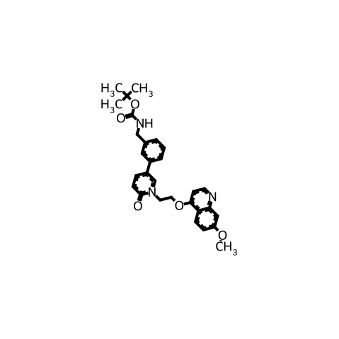 COc1ccc2c(OCCn3cc(-c4cccc(CNC(=O)OC(C)(C)C)c4)ccc3=O)ccnc2c1